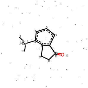 C[SiH](C)c1cccc2c1CCC2=O